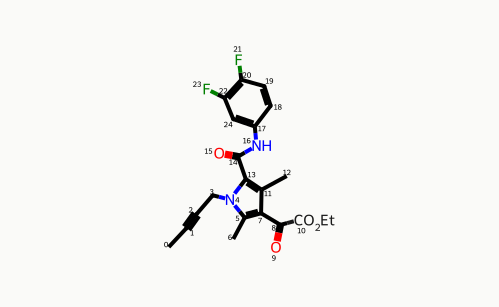 CC#CCn1c(C)c(C(=O)C(=O)OCC)c(C)c1C(=O)Nc1ccc(F)c(F)c1